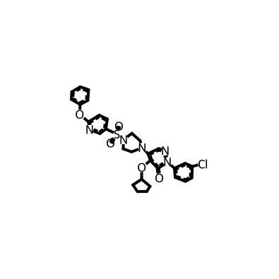 O=c1c(OC2CCCC2)c(N2CCN(S(=O)(=O)c3ccc(Oc4ccccc4)nc3)CC2)cnn1-c1cccc(Cl)c1